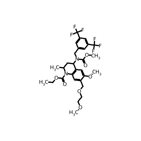 CCOC(=O)N1c2cc(COCCOC)c(OC)cc2C(N(Cc2cc(C(F)(F)F)cc(C(F)(F)F)c2)C(=O)OC)CC1C